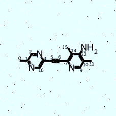 Cc1cnc(C#Cc2ncc(C)c(N)c2C)cn1